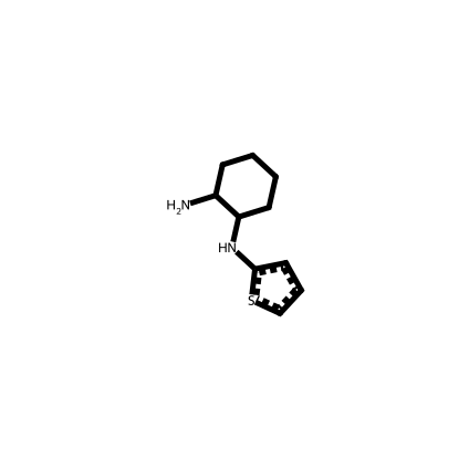 NC1CCCCC1Nc1cccs1